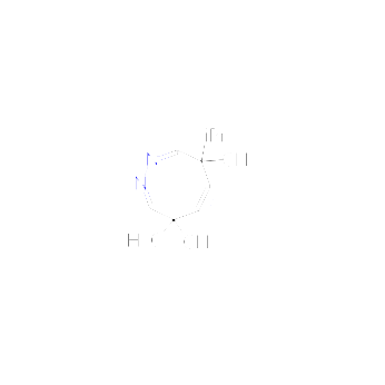 CC(C)C1(C)/C=C\C(C)(C)/C=N\N=C/1